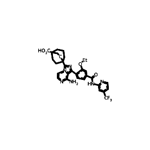 CCOc1cc(C(=O)Nc2cc(C(F)(F)F)ccn2)ccc1-c1nc(C23CCCC(C(=O)O)(CC2)CC3)n2ccnc(N)c12